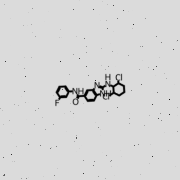 O=C(Nc1cccc(F)c1)c1ccc2[nH]c(NC3C(Cl)CCCC3Cl)nc2c1